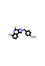 COc1ccc(Cn2cc3c(n2)c(Cl)nc2c(Br)cccc23)cc1